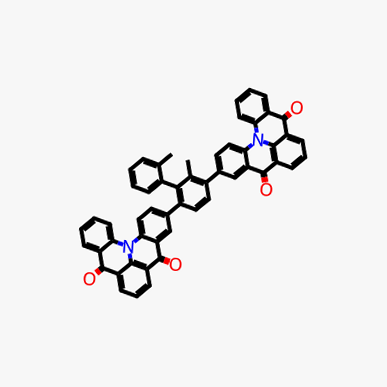 Cc1ccccc1-c1c(-c2ccc3c(c2)c(=O)c2cccc4c(=O)c5ccccc5n3c42)ccc(-c2ccc3c(c2)c(=O)c2cccc4c(=O)c5ccccc5n3c42)c1C